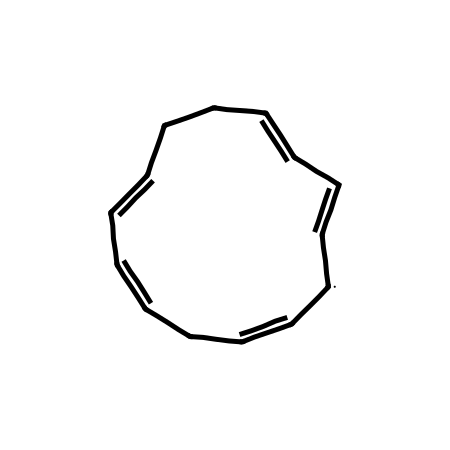 [CH]1/C=C\C/C=C\C=C\CC/C=C/C=C/1